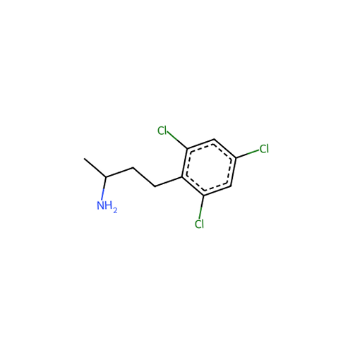 CC(N)CCc1c(Cl)cc(Cl)cc1Cl